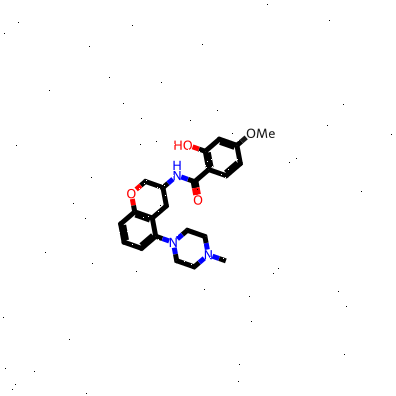 COc1ccc(C(=O)NC2COc3cccc(N4CCN(C)CC4)c3C2)c(O)c1